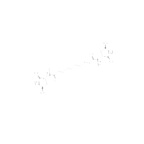 O=C1C[C@H](NC(=O)CCCCCCCCC(=O)N[C@H]2CC(=O)NC2=O)C(=O)N1